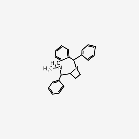 CN(C)C(c1ccccc1)C1CCN1C(c1ccccc1)c1ccccc1